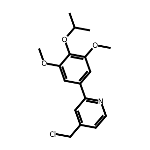 COc1cc(-c2cc(CCl)ccn2)cc(OC)c1OC(C)C